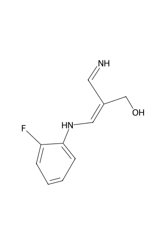 N=C/C(=C\Nc1ccccc1F)CO